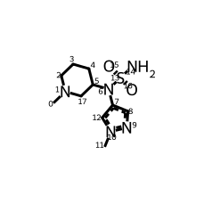 CN1CCCC(N(c2cnn(C)c2)S(N)(=O)=O)C1